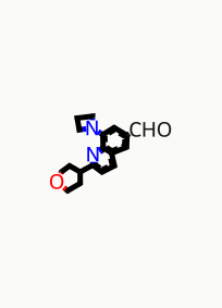 O=Cc1cc(N2CCC2)c2nc(C3CCOCC3)ccc2c1